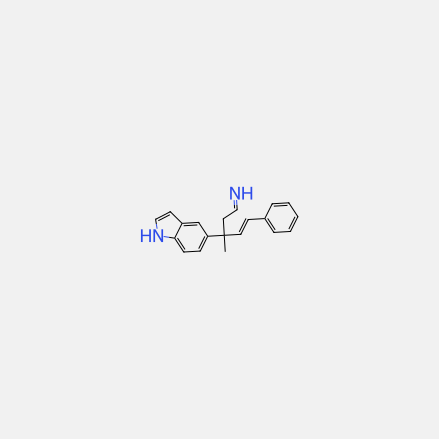 CC(C=Cc1ccccc1)(CC=N)c1ccc2[nH]ccc2c1